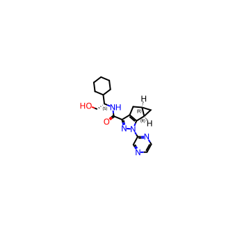 O=C(N[C@H](CO)C1CCCCC1)c1nn(-c2cnccn2)c2c1C[C@H]1C[C@@H]21